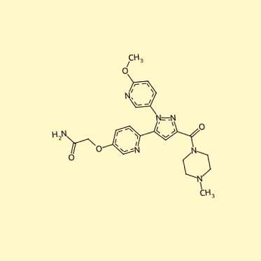 COc1ccc(-n2nc(C(=O)N3CCN(C)CC3)cc2-c2ccc(OCC(N)=O)cn2)cn1